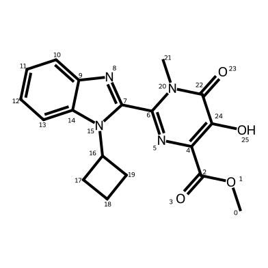 COC(=O)c1nc(-c2nc3ccccc3n2C2CCC2)n(C)c(=O)c1O